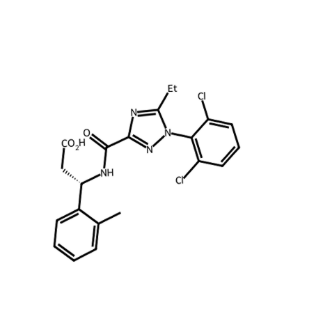 CCc1nc(C(=O)N[C@@H](CC(=O)O)c2ccccc2C)nn1-c1c(Cl)cccc1Cl